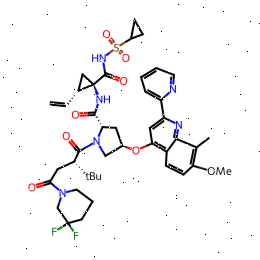 C=C[C@@H]1C[C@]1(NC(=O)[C@@H]1C[C@@H](Oc2cc(-c3ccccn3)nc3c(C)c(OC)ccc23)CN1C(=O)[C@@H](CC(=O)N1CCCC(F)(F)C1)C(C)(C)C)C(=O)NS(=O)(=O)C1CC1